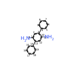 Nc1cc(-c2ccccc2)c(N)cc1-c1ccccc1